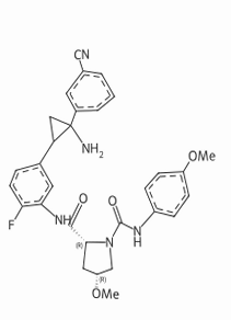 COc1ccc(NC(=O)N2C[C@H](OC)C[C@@H]2C(=O)Nc2cc(C3CC3(N)c3cccc(C#N)c3)ccc2F)cc1